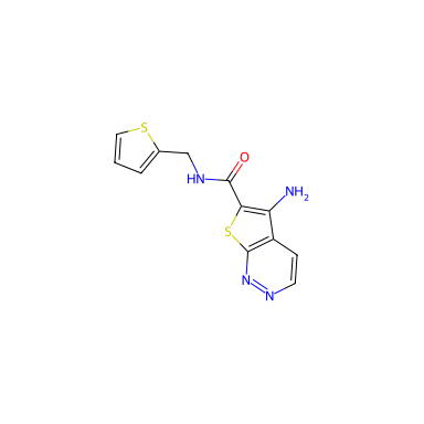 Nc1c(C(=O)NCc2cccs2)sc2nnccc12